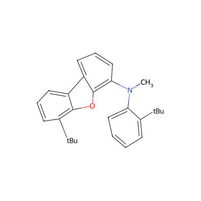 CN(c1ccccc1C(C)(C)C)c1cccc2c1oc1c(C(C)(C)C)cccc12